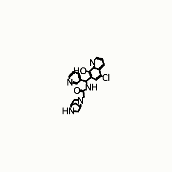 O=C(CN1CC2CC1CN2)NC(c1cccnc1)c1cc(Cl)c2cccnc2c1O